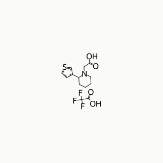 O=C(O)C(F)(F)F.O=C(O)CN1CCCCC1c1ccsc1